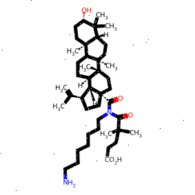 C=C(C)[C@@H]1CC[C@]2(C(=O)N(CCCCCCCN)C(=O)C(C)(C)CCC(=O)O)CC[C@]3(C)[C@H](CCC4[C@@]5(C)CC[C@H](O)C(C)(C)[C@@H]5CC[C@]43C)[C@@H]12